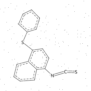 S=C=Nc1ccc(Sc2ccccc2)c2ccccc12